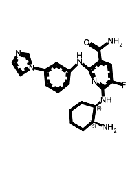 NC(=O)c1cc(F)c(N[C@@H]2CCCC[C@@H]2N)nc1Nc1cccc(-n2ccnc2)c1